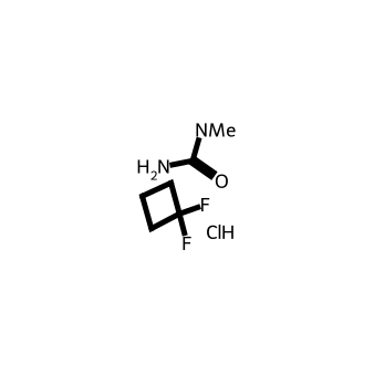 CNC(N)=O.Cl.FC1(F)CCC1